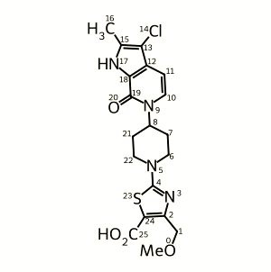 COCc1nc(N2CCC(n3ccc4c(Cl)c(C)[nH]c4c3=O)CC2)sc1C(=O)O